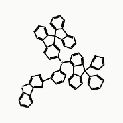 c1ccc(C2(c3ccccc3)c3ccccc3-c3c(N(c4cccc(-c5ccc6oc7ccccc7c6c5)c4)c4ccc5c(c4)C4(c6ccccc6-c6ccccc64)c4ccccc4-5)cccc32)cc1